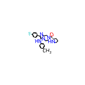 Cc1ccc(Nc2c(-c3ccc(F)cc3)nc3n2CCN(C(=O)[C@H]2CCCN2)C3)cc1